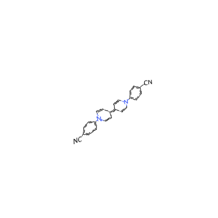 N#Cc1ccc(N2C=CC(=C3C=CN(c4ccc(C#N)cc4)C=C3)C=C2)cc1